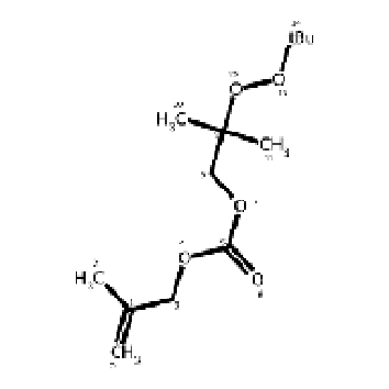 C=C(C)COC(=O)OCC(C)(C)OOC(C)(C)C